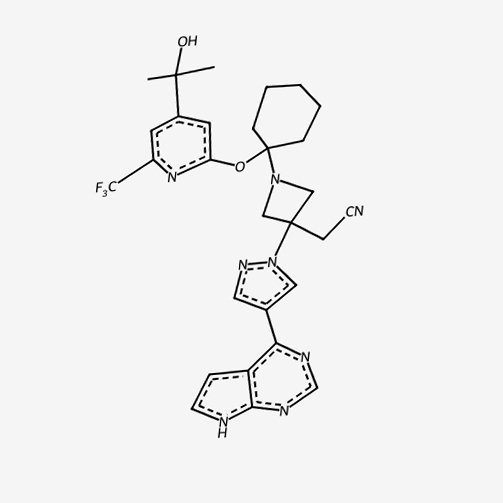 CC(C)(O)c1cc(OC2(N3CC(CC#N)(n4cc(-c5ncnc6[nH]ccc56)cn4)C3)CCCCC2)nc(C(F)(F)F)c1